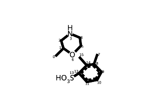 CC1CNCCO1.Cc1cccc(S(=O)(=O)O)c1C